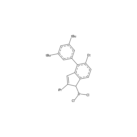 CCc1ccc2c(c1-c1cc(C(C)(C)C)cc(C(C)(C)C)c1)C=C(C(C)C)[CH]2[Zr]([Cl])[Cl]